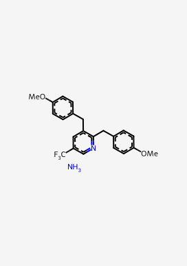 COc1ccc(Cc2cc(C(F)(F)F)cnc2Cc2ccc(OC)cc2)cc1.N